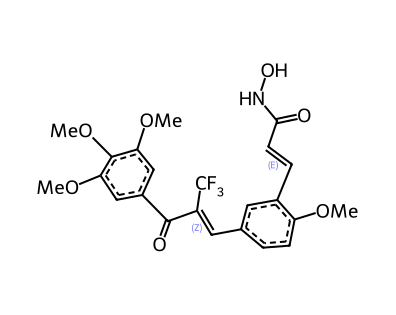 COc1ccc(/C=C(/C(=O)c2cc(OC)c(OC)c(OC)c2)C(F)(F)F)cc1/C=C/C(=O)NO